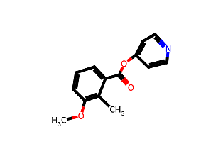 COc1cccc(C(=O)Oc2ccncc2)c1C